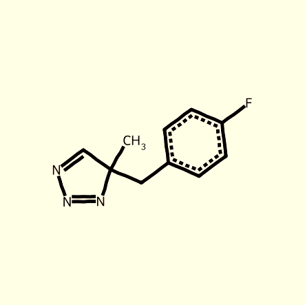 CC1(Cc2ccc(F)cc2)C=NN=N1